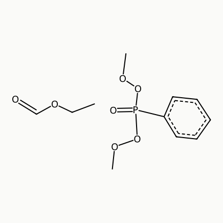 CCOC=O.COOP(=O)(OOC)c1ccccc1